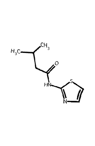 CC(C)CC(=O)Nc1nccs1